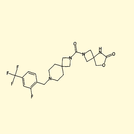 O=C1NC2(CO1)CN(C(=O)N1CC3(CCN(Cc4ccc(C(F)(F)F)cc4F)CC3)C1)C2